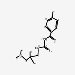 Cc1ccc(C(=O)NC(=S)NCC(C)(C)CN(C)C)cc1